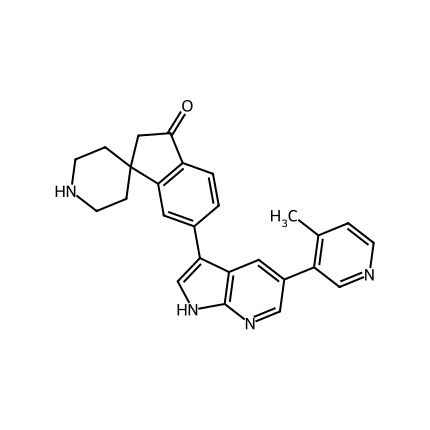 Cc1ccncc1-c1cnc2[nH]cc(-c3ccc4c(c3)C3(CCNCC3)CC4=O)c2c1